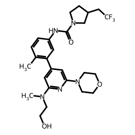 Cc1ccc(NC(=O)N2CCC(CC(F)(F)F)C2)cc1-c1cc(N(C)CCO)nc(N2CCOCC2)c1